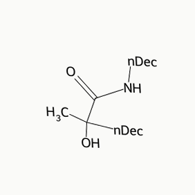 CCCCCCCCCCNC(=O)C(C)(O)CCCCCCCCCC